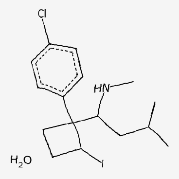 CNC(CC(C)C)C1(c2ccc(Cl)cc2)CCC1I.O